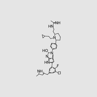 CC(=N)NCCC1CCCC(c2ccc(N3C=c4cc(-c5cc(CCCC(C)N)cc(Cl)c5F)[nH]c4=NC3O)cc2)N1CCC1CC1